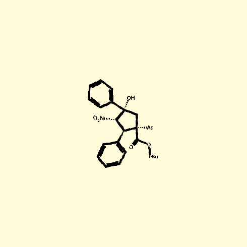 CCCCOC(=O)[C@]1(C(C)=O)C[C@](O)(c2ccccc2)[C@@H]([N+](=O)[O-])[C@@H]1c1ccccc1